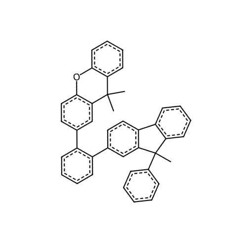 CC1(C)c2ccccc2Oc2ccc(-c3ccccc3-c3ccc4c(c3)C(C)(c3ccccc3)c3ccccc3-4)cc21